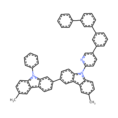 Cc1ccc2c(c1)c1ccc(-c3ccc4c(c3)c3cc(C)ccc3n4-c3ccc(-c4cccc(-c5cccc(-c6ccccc6)c5)c4)cn3)cc1n2-c1ccccc1